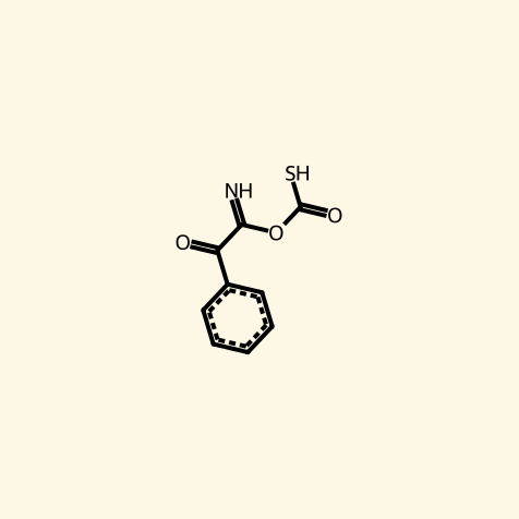 N=C(OC(=O)S)C(=O)c1ccccc1